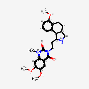 COc1cc2c(=O)n(CCC3NCC4CCc5c(OC)cccc5C43)c(=O)n(C)c2cc1OC